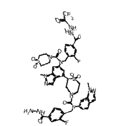 Cn1ncc2ccc(N(Cc3ccc(C(=O)NN)cc3F)C(=O)N3CCS(=O)(=O)C(c4cc(N(Cc5ccc(C(=O)NNC(=O)C(F)(F)F)cc5F)C(=O)N5CCS(=O)(=O)CC5)cc5c4cnn5C)C3)cc21